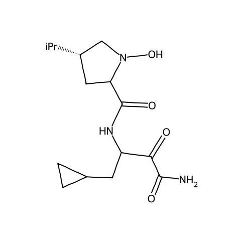 CC(C)[C@H]1CC(C(=O)NC(CC2CC2)C(=O)C(N)=O)N(O)C1